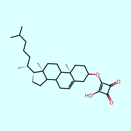 CC(C)CCC[C@@H](C)[C@H]1CCC2C3CC=C4CC(Oc5c(O)c(=O)c5=O)CC[C@]4(C)C3CC[C@@]21C